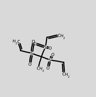 C=CS(=O)(=O)C(C)(S(=O)(=O)C=C)S(=O)(=O)C=C